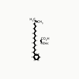 CCCCCCCCCCCC(=O)O.CN(C)CCCCCCCCCCCCCc1ccccc1